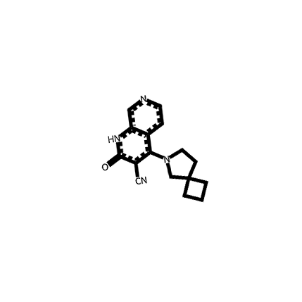 N#Cc1c(N2CCC3(CCC3)C2)c2ccncc2[nH]c1=O